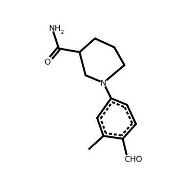 Cc1cc(N2CCCC(C(N)=O)C2)ccc1C=O